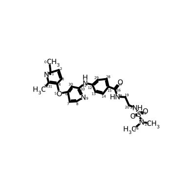 Cc1ccc(Oc2ccnc(Nc3ccc(C(=O)NCCNS(=O)(=O)N(C)C)cc3)c2)c(C)n1